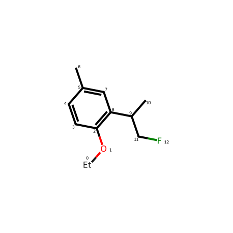 CCOc1ccc(C)cc1[C](C)CF